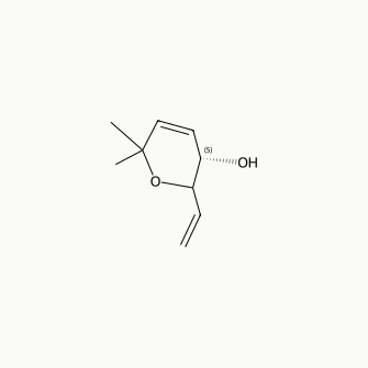 C=CC1OC(C)(C)C=C[C@@H]1O